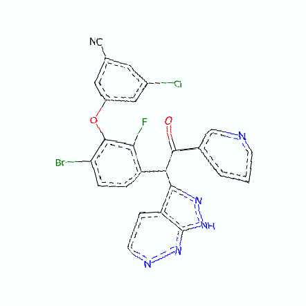 N#Cc1cc(Cl)cc(Oc2c(Br)ccc(C(C(=O)c3cccnc3)c3n[nH]c4nnccc34)c2F)c1